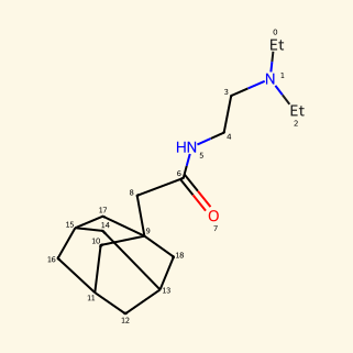 CCN(CC)CCNC(=O)CC12CC3CC(CC(C3)C1)C2